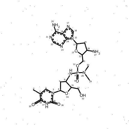 Cc1cn(C2CC(NP(=O)(OCC3OC(n4cnc5c(N)ncnc54)CC3N)N(C)C)C(CO)O2)c(=O)[nH]c1=O